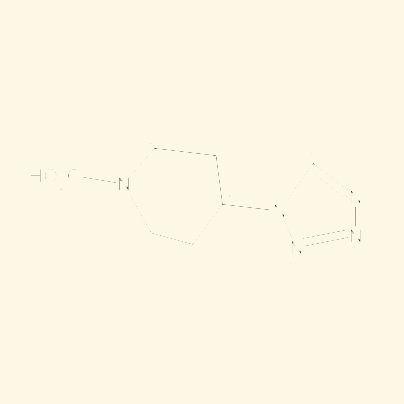 O=C(O)N1CCC(n2cnnn2)CC1